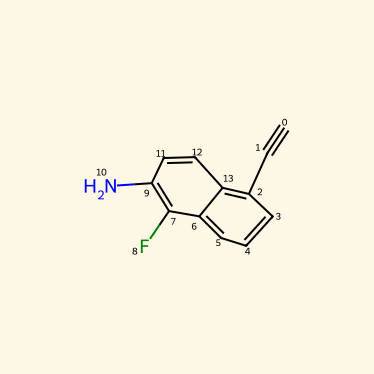 C#Cc1cccc2c(F)c(N)ccc12